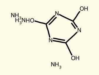 N.N.N.Oc1nc(O)nc(O)n1